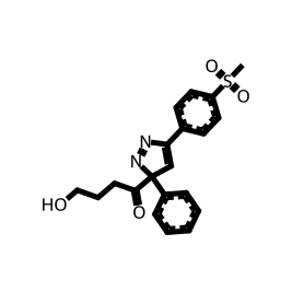 CS(=O)(=O)c1ccc(C2=CC(C(=O)CCCO)(c3ccccc3)N=N2)cc1